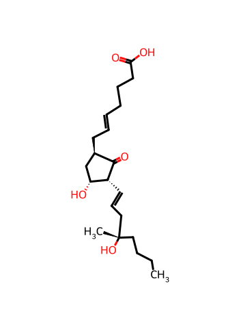 CCCC[C@](C)(O)CC=C[C@H]1C(=O)[C@H](CC=CCCCC(=O)O)C[C@H]1O